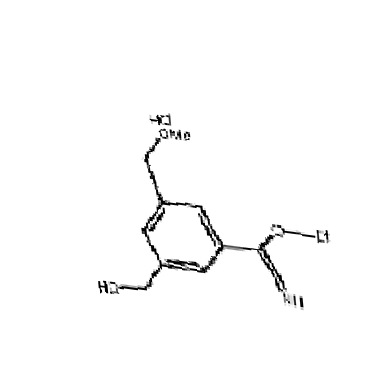 CCOC(=N)c1cc(CO)cc(COC)c1.Cl